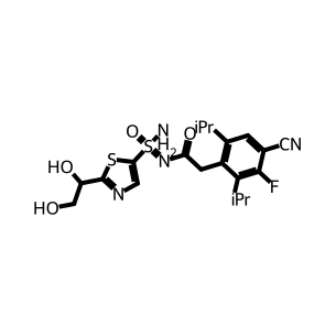 CC(C)c1cc(C#N)c(F)c(C(C)C)c1CC(=O)N=S(N)(=O)c1cnc(C(O)CO)s1